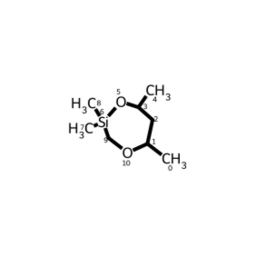 CC1CC(C)O[Si](C)(C)CO1